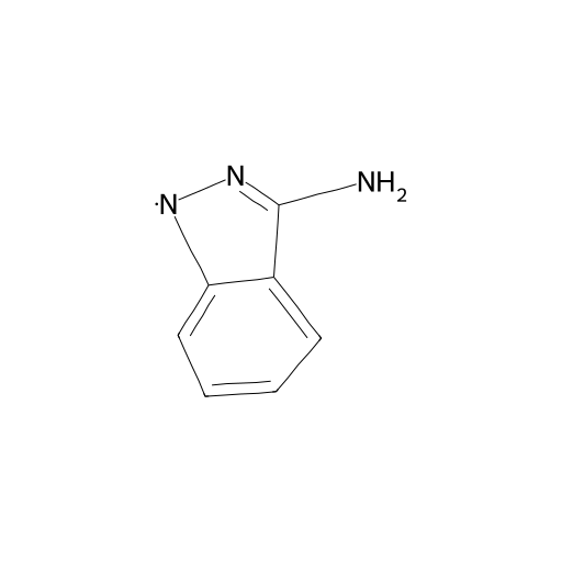 NC1=N[N]c2ccccc21